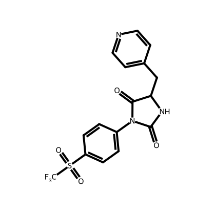 O=C1NC(Cc2ccncc2)C(=O)N1c1ccc(S(=O)(=O)C(F)(F)F)cc1